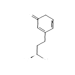 N[C@H](CCC1=CC(=O)CC=C1)C(=O)O